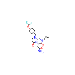 CCC(C)CN1CC2N(Cc3ccc(OC(F)F)cc3)CCC(=O)N2C(CC(N)=O)C1=O